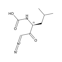 CC(C)C[C@H](NC(=O)O)C(=O)C=[N+]=[N-]